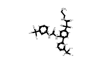 CCCNC(=O)C(F)(F)c1ccc(-c2cccc(C(F)(F)F)n2)c(NC(=O)Nc2cccc(C(F)(F)F)c2)c1